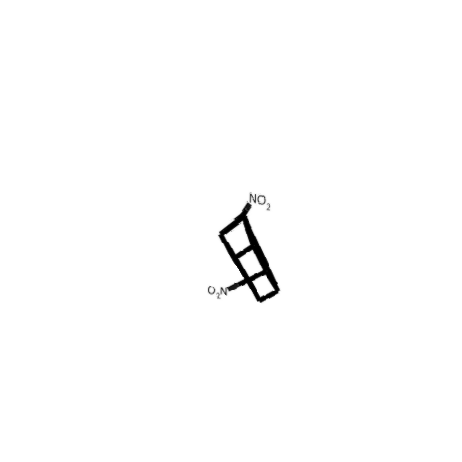 O=[N+]([O-])C12C3C4C1C1C2C3C41[N+](=O)[O-]